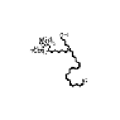 CC/C=C\C/C=C\C/C=C\C/C=C\C/C=C\CCCCN(CCCCO)CCCCCC(OCCCCCCCC)O[Si](C)(C)OCCCCCCCC